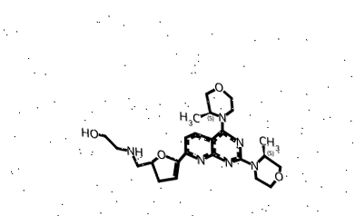 C[C@H]1COCCN1c1nc(N2CCOC[C@@H]2C)c2ccc(C3=CCC(CNCCO)O3)nc2n1